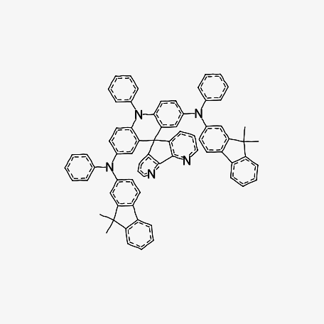 CC1(C)c2ccccc2-c2ccc(N(c3ccccc3)c3ccc4c(c3)C3(c5cc(N(c6ccccc6)c6ccc7c(c6)C(C)(C)c6ccccc6-7)ccc5N4c4ccccc4)c4cccnc4-c4ncccc43)cc21